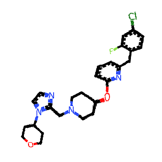 Fc1cc(Cl)ccc1Cc1cccc(OC2CCN(Cc3nccn3C3CCOCC3)CC2)n1